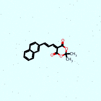 CC1(C)OC(=O)C(=CC=Cc2ccc3ccccc3c2)C(=O)O1